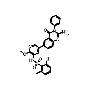 COc1ncc(-c2ccc3nc(N)n(-c4ccccc4)c(=O)c3c2)cc1NS(=O)(=O)c1c(C)cccc1Cl